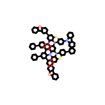 c1ccc(-c2ccc(N3c4cc5c(cc4B4c6ccc(-n7c8ccccc8c8ccccc87)cc6Sc6cc(-c7ccc8oc9ccccc9c8c7)cc3c64)B3c4ccc(-c6ccccc6)cc4Sc4cc(-c6ccc7oc8ccccc8c7c6)cc(c43)N5c3c(-c4ccccc4)cc(-c4ccccc4)cc3-c3ccccc3)cc2)cc1